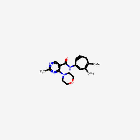 COC1=C(OC)CC#CC(NC(=O)c2cnc(C(F)(F)F)nc2N2CCOCC2)=C1